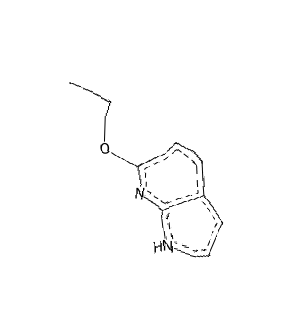 CCOc1ccc2cc[nH]c2n1